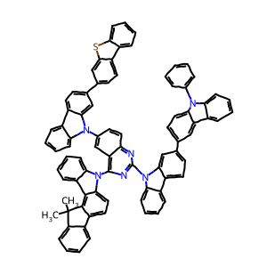 CC1(C)c2ccccc2-c2ccc3c(c21)c1ccccc1n3-c1nc(-n2c3ccccc3c3ccc(-c4ccc5c(c4)c4ccccc4n5-c4ccccc4)cc32)nc2ccc(-n3c4ccccc4c4ccc(-c5ccc6c(c5)sc5ccccc56)cc43)cc12